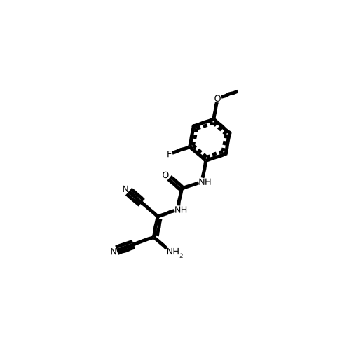 COc1ccc(NC(=O)NC(C#N)=C(N)C#N)c(F)c1